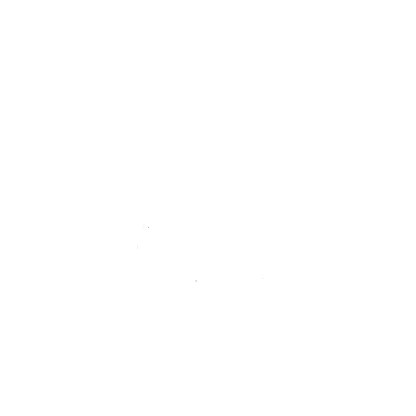 Cc1ccc(-c2c(C)c(-c3ccc(C)c(C)c3)c3[nH]c(=O)ccc3c2C(OC(C)(C)C)C(=O)O)cc1C